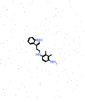 Cc1c(N)ccc(NCCc2c[nH]c3ccccc23)c1C